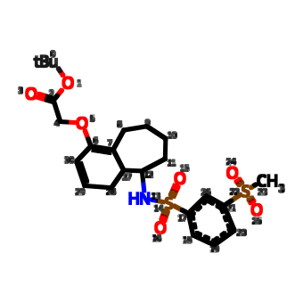 CC(C)(C)OC(=O)COC1=C2CCCCC(NS(=O)(=O)c3cccc(S(C)(=O)=O)c3)C2CC=C1